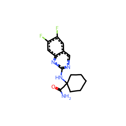 NC(=O)C1(Nc2ncc3cc(F)c(F)cc3n2)CCCCC1